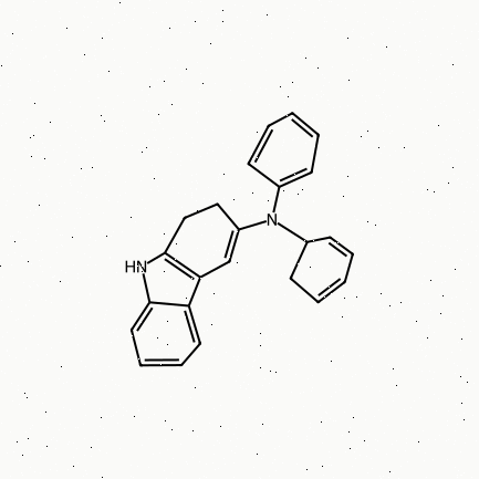 C1=CCC(N(C2=Cc3c([nH]c4ccccc34)CC2)c2ccccc2)C=C1